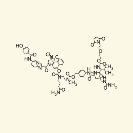 Cc1cccc2c(OC(=O)N(CCCC(N)=O)CCN(C)C(=O)OCc3ccc(NC(=O)[C@H](CCCNC(N)=O)NC(=O)[C@@H](NC(=O)OCCOCCN4C(=O)C=CC4=O)C(C)C)cc3)cc3c(c12)[C@H](CCl)CN3C(=O)c1cn2cc(NC(=O)C3=CC=C(O)CC3)ccc2n1